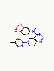 Cc1ccc(N2CCc3ncnc(N(C)c4ccc5c(c4)OCO5)c3C2)nc1